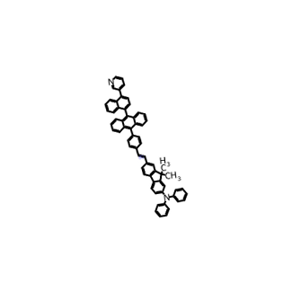 CC1(C)c2cc(/C=C/c3ccc(-c4c5ccccc5c(-c5ccc(-c6cccnc6)c6ccccc56)c5ccccc45)cc3)ccc2-c2ccc(N(c3ccccc3)c3ccccc3)cc21